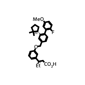 CC[C@H](CC(=O)O)c1cccc(OCc2ccc(-c3cc(OC)ccc3F)c([C@H]3CCCC3(C)C)c2)c1